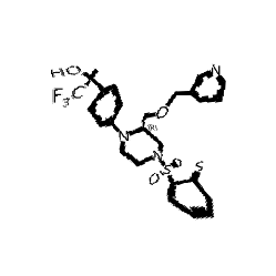 C[C@@](O)(c1ccc(N2CCN(S(=O)(=O)C3=CC=CCC3=S)C[C@@H]2COCc2cccnc2)cc1)C(F)(F)F